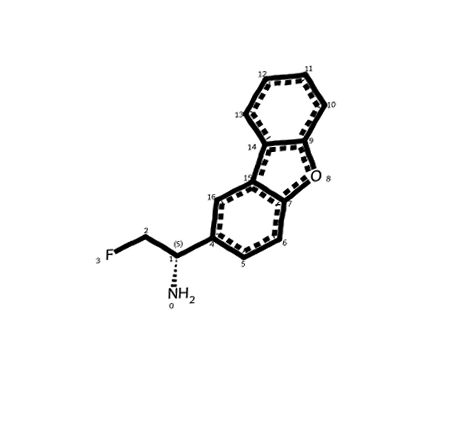 N[C@H](CF)c1ccc2oc3ccccc3c2c1